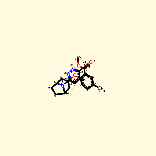 CC(C)OC(=O)c1cc(C(F)(F)F)ccc1OC1CC2CCC(C1)N2c1ccc(C#N)nn1